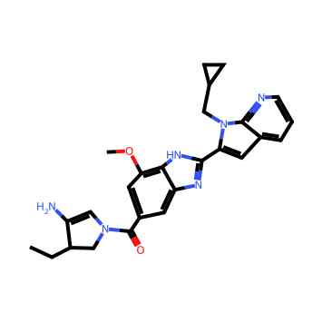 CCC1CN(C(=O)c2cc(OC)c3[nH]c(-c4cc5cccnc5n4CC4CC4)nc3c2)C=C1N